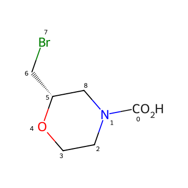 O=C(O)N1CCO[C@H](CBr)C1